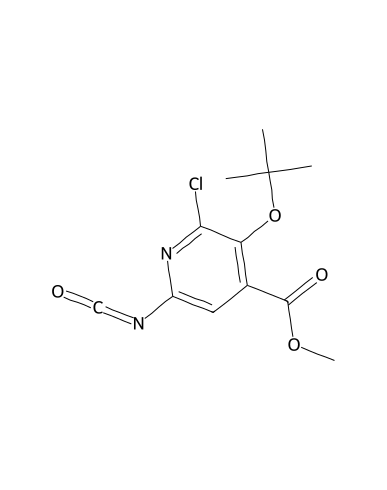 COC(=O)c1cc(N=C=O)nc(Cl)c1OC(C)(C)C